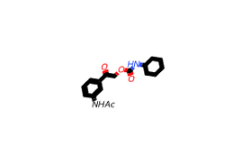 CC(=O)Nc1cccc(C(=O)COC(=O)NC2CCCCC2)c1